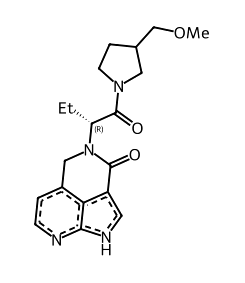 CC[C@H](C(=O)N1CCC(COC)C1)N1Cc2ccnc3[nH]cc(c23)C1=O